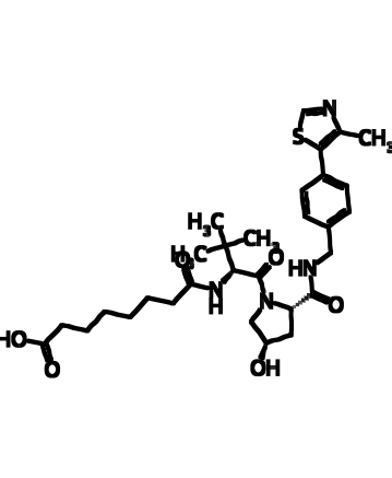 Cc1ncsc1-c1ccc(CNC(=O)[C@@H]2C[C@@H](O)CN2C(=O)[C@@H](NC(=O)CCCCCCC(=O)O)C(C)(C)C)cc1